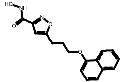 O=C(NO)c1cc(CCCOc2cccc3ccccc23)on1